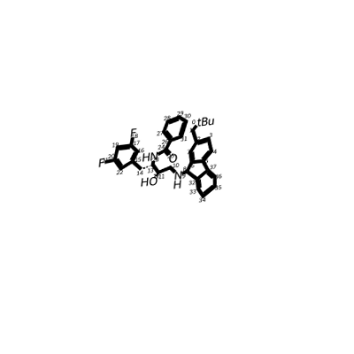 CC(C)(C)Cc1ccc2c(c1)C(NC[C@@H](O)[C@H](Cc1cc(F)cc(F)c1)NC(=O)c1ccccc1)c1ccccc1-2